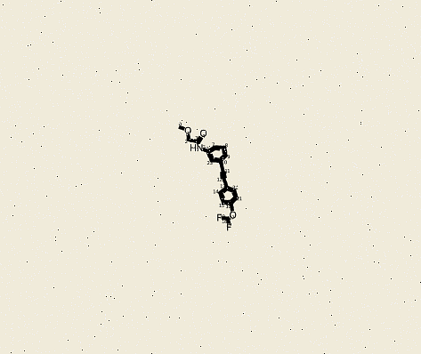 COCC(=O)Nc1cccc(C#Cc2ccc(OC(F)F)cc2)c1